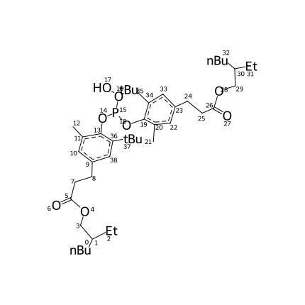 CCCCC(CC)COC(=O)CCc1cc(C)c(OP(OO)Oc2c(C)cc(CCC(=O)OCC(CC)CCCC)cc2C(C)(C)C)c(C(C)(C)C)c1